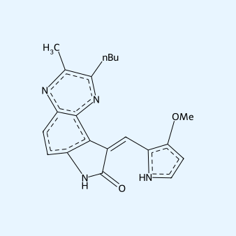 CCCCc1nc2c3c(ccc2nc1C)NC(=O)/C3=C\c1[nH]ccc1OC